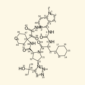 Cn1ccc2c(NC(=O)NC(CC3CCCCC3)C(=O)N3C[C@@H](n4nncc4C(C)(C)O)C[C@H]3C(=O)NC3(C(=O)C(N)=O)CCOCC3)cccc21